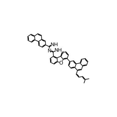 CC(C)=C/C=C\c1cc2ccccc2c2cc(-c3cccc4c3oc3cccc(/C(N)=N/C(=N)c5ccc6c(ccc7ccccc76)c5)c34)ccc12